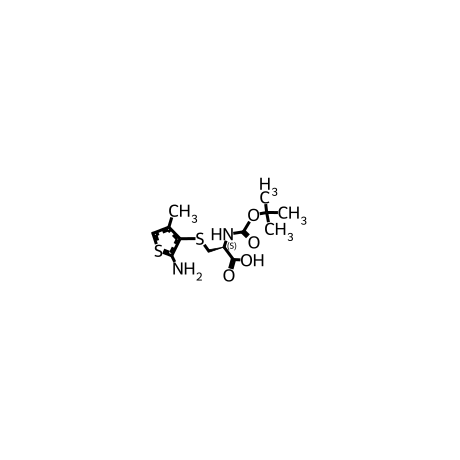 Cc1csc(N)c1SC[C@@H](NC(=O)OC(C)(C)C)C(=O)O